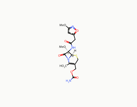 COc1cc(CC(=O)N[C@]2(OC)C(=O)N3C(C(=O)O)=C(COC(N)=O)CS[C@@H]32)on1